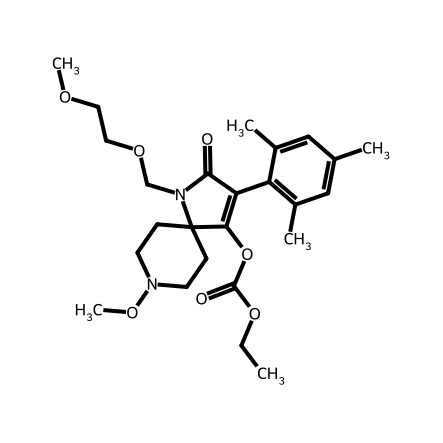 CCOC(=O)OC1=C(c2c(C)cc(C)cc2C)C(=O)N(COCCOC)C12CCN(OC)CC2